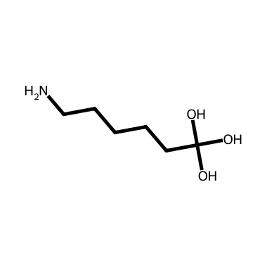 NCCCCCC(O)(O)O